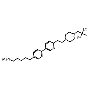 CCC(C)(CC)CN1CCC(CCc2ccc(-c3ccc(CCCCCNC)cc3)cn2)CC1